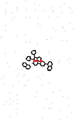 c1ccc(-c2c(-c3ccccc3N(c3ccc(-c4ccc(-c5cccc6ccccc56)cc4)cc3)c3cccc4ccccc34)oc3ccccc23)cc1